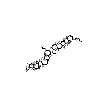 C=CC[C@@H]1O[C@@H]2C[C@@H]3O[C@@H]4C[C@@H]5O[C@@H]6[C@@H](C)[C@H](C)[C@@]7(C[C@H](C)CO7)O[C@H]6[C@@H](C)[C@H](C)[C@H]5O[C@H]4C[C@@H](C)C[C@H]3O[C@@]2(C)[C@H](C)C[C@H]1O[C@H]1C=C[C@H]2O[C@H]3C[C@H]4O[C@H]5CC=C[C@H](/C=C/[C@H](C)CC)O[C@@H]5[C@@H](C)[C@@H]4O[C@@H]3C=C[C@@H]2O[C@@H]1CC=C